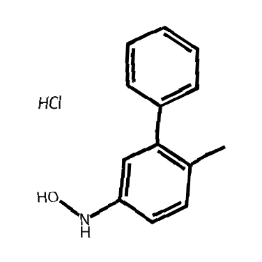 Cc1ccc(NO)cc1-c1ccccc1.Cl